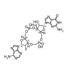 Nc1nc2c(ncn2[C@@H]2O[C@@H]3COP(=O)(O)CO[C@@H]4C(F)[C@H](n5cnc6c(N)ncnc65)O[C@@H]4COP(=O)(O)O[C@@H]3C2O)c(=O)[nH]1